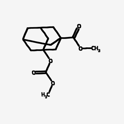 COC(=O)OC12CC3CC(C1)CC(C(=O)OC)(C3)C2